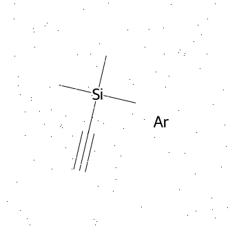 C#C[Si](C)(C)C.[Ar]